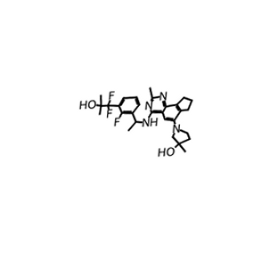 Cc1nc(NC(C)c2cccc(C(F)(F)C(C)(C)O)c2F)c2cc(N3CCC(C)(O)C3)c3c(c2n1)CCC3